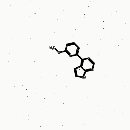 COc1cccc(-c2ccnc3[nH]ccc23)n1